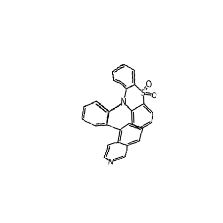 O=S1(=O)c2ccccc2N(c2ccccc2-c2cccc3cnccc23)c2ccccc21